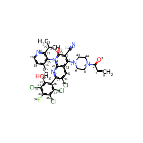 C=CC(=O)N1CCN(c2c(C#N)c(=O)n(-c3c(C)ccnc3C(C)C)c3nc(-c4c(O)c(Cl)c(F)c(Cl)c4Cl)c(Cl)cc23)CC1